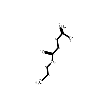 C=C(Br)CCC(=O)OCCC